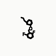 CCCc1cccc(OCc2c(F)cccc2F)c1